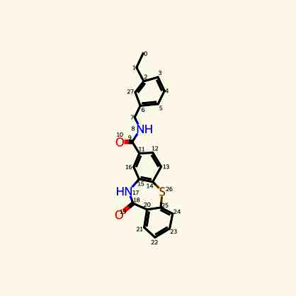 CCc1cccc(CNC(=O)c2ccc3c(c2)NC(=O)c2ccccc2S3)c1